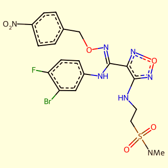 CNS(=O)(=O)CCNc1nonc1/C(=N/OCc1ccc([N+](=O)[O-])cc1)Nc1ccc(F)c(Br)c1